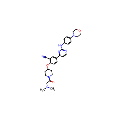 CN(C)CC(=O)N1CCC(Oc2ccc(-c3ccnc(Nc4ccc(N5CCOCC5)cc4)n3)cc2C#N)CC1